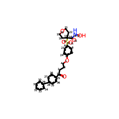 O=C(CCCOc1ccc(S(=O)(=O)C2(C(=O)NO)CCOCC2)cc1)c1ccc(-c2ccccc2)cc1